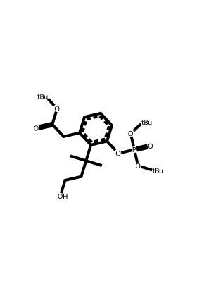 CC(C)(C)OC(=O)Cc1cccc(OP(=O)(OC(C)(C)C)OC(C)(C)C)c1C(C)(C)CCO